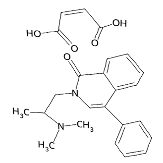 CC(Cn1cc(-c2ccccc2)c2ccccc2c1=O)N(C)C.O=C(O)/C=C\C(=O)O